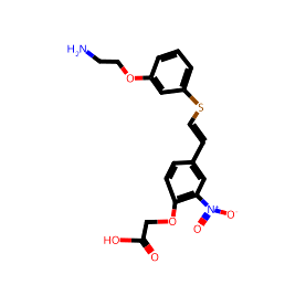 NCCOc1cccc(S/C=C/c2ccc(OCC(=O)O)c([N+](=O)[O-])c2)c1